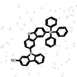 N#Cc1ccc2c3ccccc3n(-c3ccc4oc5ccc([Si](c6ccccc6)(c6ccccc6)c6ccccc6)cc5c4c3)c2c1